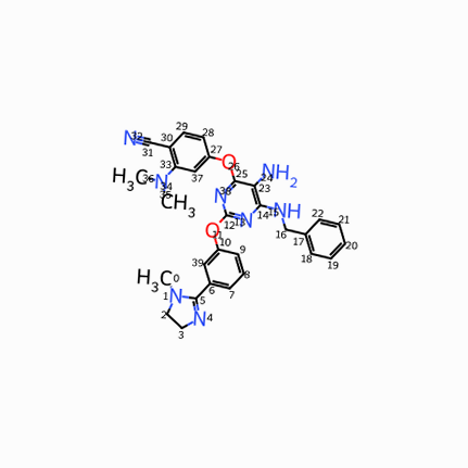 CN1CCN=C1c1cccc(Oc2nc(NCc3ccccc3)c(N)c(Oc3ccc(C#N)c(N(C)C)c3)n2)c1